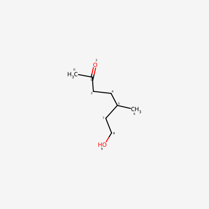 CC(=O)CCC(C)CCO